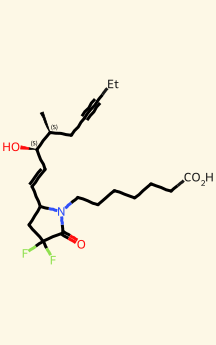 CCC#CC[C@H](C)[C@H](O)C=CC1CC(F)(F)C(=O)N1CCCCCCC(=O)O